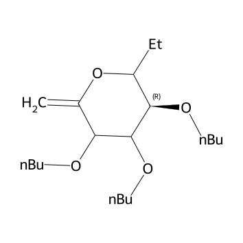 C=C1OC(CC)[C@@H](OCCCC)C(OCCCC)C1OCCCC